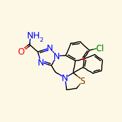 NC(=O)c1nc2n(n1)-c1ccc(Cl)cc1C1(c3ccccc3)SCCN1C2